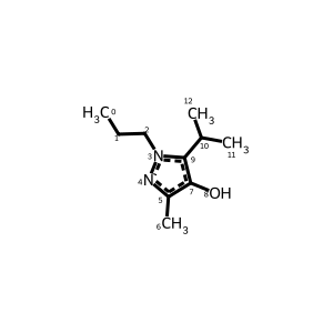 CCCn1nc(C)c(O)c1C(C)C